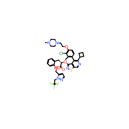 Cc1c(-c2c(C3CCC3)ncc3snc(O[C@H](Cc4ccccc4OCc4ccnn4CC(F)(F)F)C(=O)O)c23)ccc(OCCN2CCN(C)CC2)c1Cl